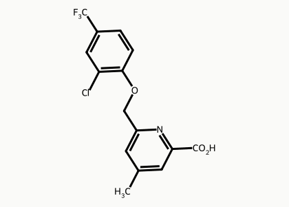 Cc1cc(COc2ccc(C(F)(F)F)cc2Cl)nc(C(=O)O)c1